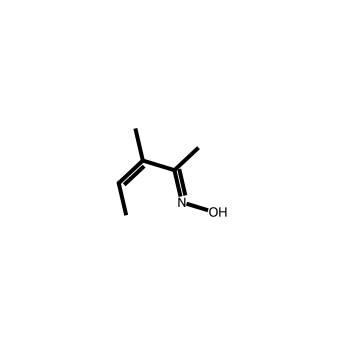 CC=C(C)C(C)=NO